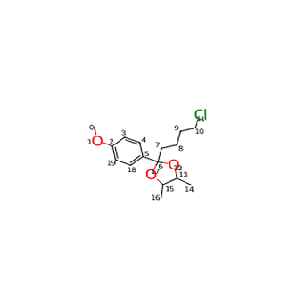 COc1ccc(C2(CCCCCl)OC(C)C(C)O2)cc1